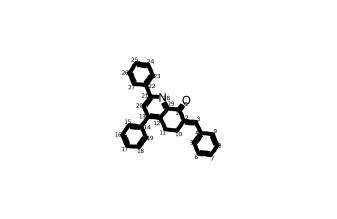 O=C1C(=Cc2ccccc2)CCc2c(-c3ccccc3)cc(-c3ccccc3)nc21